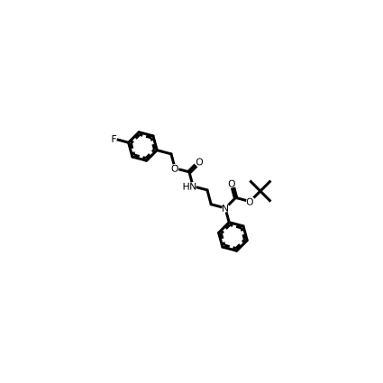 CC(C)(C)OC(=O)N(CCNC(=O)OCc1ccc(F)cc1)c1ccccc1